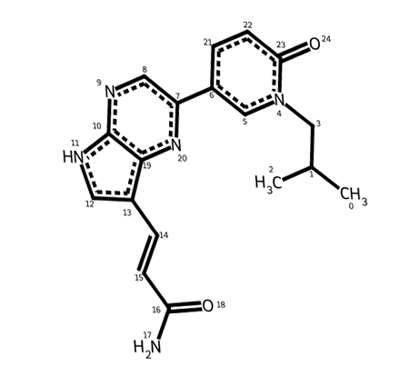 CC(C)Cn1cc(-c2cnc3[nH]cc(/C=C/C(N)=O)c3n2)ccc1=O